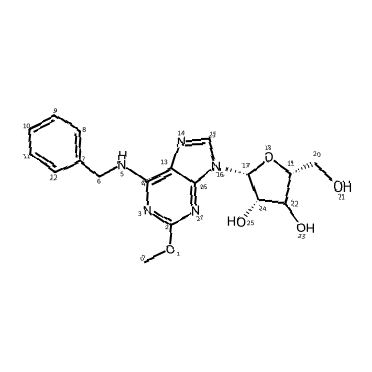 COc1nc(NCc2ccccc2)c2ncn([C@@H]3O[C@H](CO)C(O)[C@@H]3O)c2n1